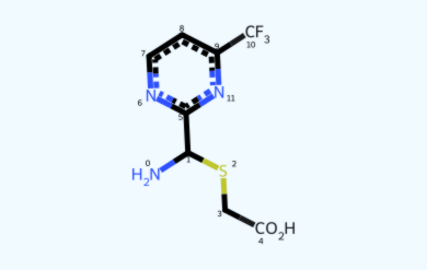 NC(SCC(=O)O)c1nccc(C(F)(F)F)n1